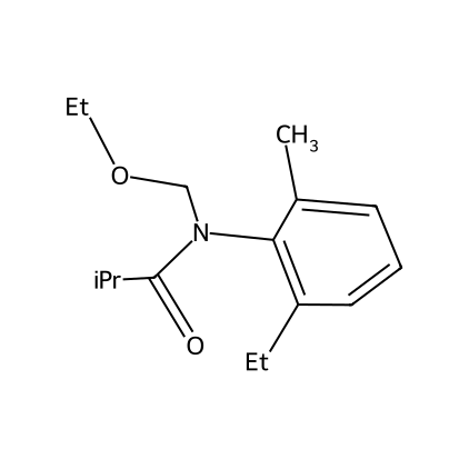 CCOCN(C(=O)C(C)C)c1c(C)cccc1CC